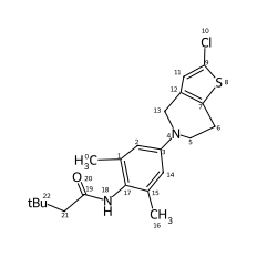 Cc1cc(N2CCc3sc(Cl)cc3C2)cc(C)c1NC(=O)CC(C)(C)C